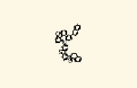 c1ccc2cc(-c3ccc(N(c4ccc5c(c4)sc4ccc6oc7c8ccccc8ccc7c6c45)c4cccc5oc6ccccc6c45)cc3)ccc2c1